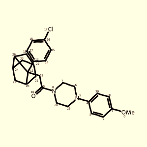 COc1ccc(N2CCN(C(=O)CC3(c4ccc(Cl)cc4)C4CC5CC(C4)C3C5)CC2)cc1